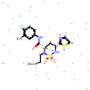 COCCN1[C@H](C(=O)Nc2ccc(F)c(Br)c2)C[C@H](c2nccs2)NS1(=O)=O